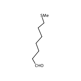 CSCCCCCCC=O